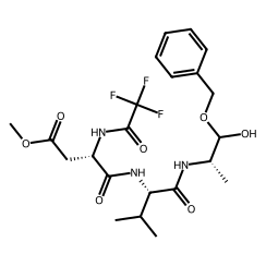 COC(=O)C[C@H](NC(=O)C(F)(F)F)C(=O)N[C@H](C(=O)N[C@@H](C)C(O)OCc1ccccc1)C(C)C